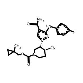 CC1(COC(=O)N2CC[C@H](C#N)[C@@H](n3cc(C(N)=O)c(Nc4ccc(F)cc4)n3)C2)CC1